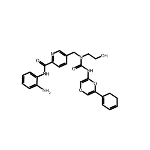 Nc1ccccc1NC(=O)c1ccc(CN(CCO)C(=O)NC2=COC=C(C3=CC=CCC3)O2)cn1